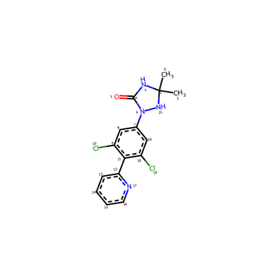 CC1(C)NC(=O)N(c2cc(Cl)c(-c3ccccn3)c(Cl)c2)N1